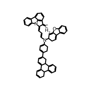 C=c1/c(=C\C=C\N(C2=CC=C(C3=CC=C4C5=CC=CCC5c5ccccc5C4C3)CC2)C2C=c3oc4ccccc4c3=CC2)n2c3ccccc3c3cccc1c32